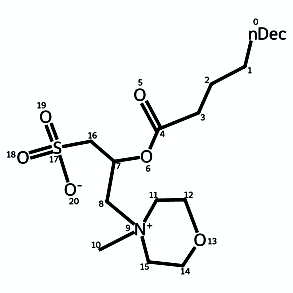 CCCCCCCCCCCCCC(=O)OC(C[N+]1(C)CCOCC1)CS(=O)(=O)[O-]